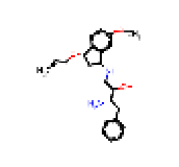 C=CCO[C@H]1C[C@@H](NCC(O)[C@@H](N)Cc2ccccc2)c2cc(OC)ccc21